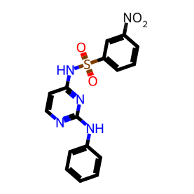 O=[N+]([O-])c1cccc(S(=O)(=O)Nc2ccnc(Nc3ccccc3)n2)c1